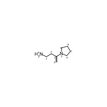 C=C(CCN)N1CCCC1